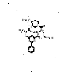 CCOC(=O)N1CCN(C(=O)[C@H](CCC(=O)O)NC(=O)c2cc(SC(C)C(C)O)nc(-c3ccccc3)n2)CC1